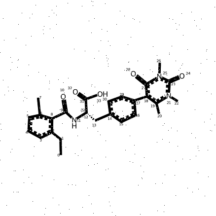 CCc1cccc(C)c1C(=O)N[C@@H](Cc1ccc(-c2c(C)n(C)c(=O)n(C)c2=O)cc1)C(=O)O